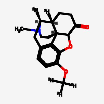 [2H]C([2H])([2H])Oc1ccc2c3c1OC1C(=O)CC[C@]4([2H])[C@@]31CCN(C)[C@]4([2H])C2